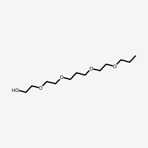 CCCOCCOCCCOCCOCCO